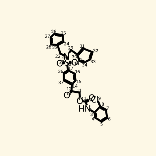 O=C(Nc1ccccc1Cl)OCC(=O)c1ccc(S(=O)(=O)N(Cc2ccccc2)Cc2ccccc2)cc1